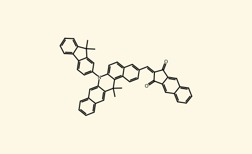 CC1(C)c2ccccc2-c2ccc(N3c4cc5ccccc5cc4C(C)(C)c4c3ccc3cc(C=C5C(=O)c6cc7ccccc7cc6C5=O)ccc43)cc21